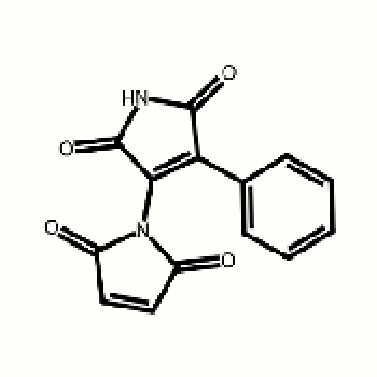 O=C1NC(=O)C(N2C(=O)C=CC2=O)=C1c1ccccc1